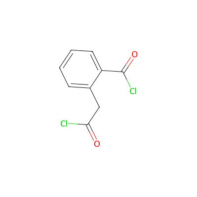 O=C(Cl)Cc1ccccc1C(=O)Cl